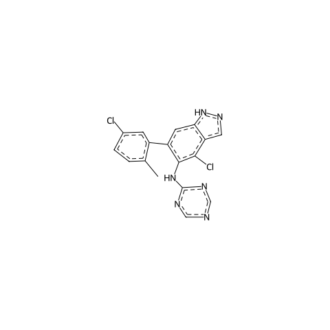 Cc1ccc(Cl)cc1-c1cc2[nH]ncc2c(Cl)c1Nc1ncncn1